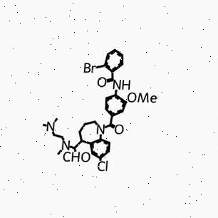 COc1cc(C(=O)N2CCCC(C(C=O)N(C)CCN(C)C)c3cc(Cl)ccc32)ccc1NC(=O)c1ccccc1Br